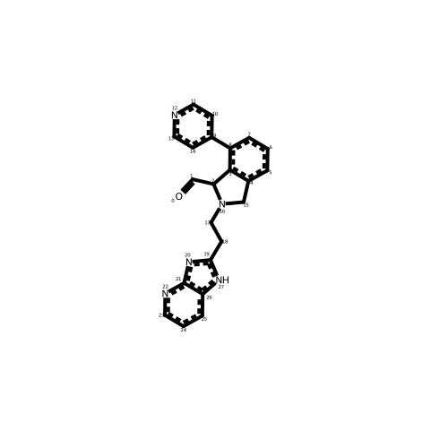 O=CC1c2c(cccc2-c2ccncc2)CN1CCc1nc2ncccc2[nH]1